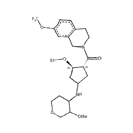 CCO[C@@H]1CC(NC2CCOCC2OC)C[C@H]1C(=O)N1CCc2ccc(OC(F)(F)F)cc2C1